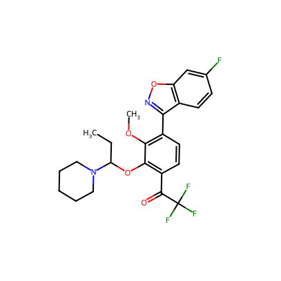 CCC(Oc1c(C(=O)C(F)(F)F)ccc(-c2noc3cc(F)ccc23)c1OC)N1CCCCC1